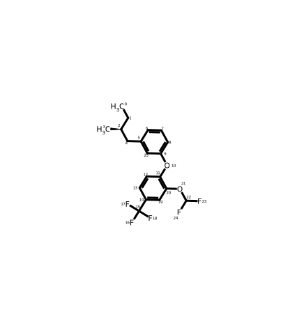 CC[C@H](C)Cc1cccc(Oc2ccc(C(F)(F)F)cc2OC(F)F)c1